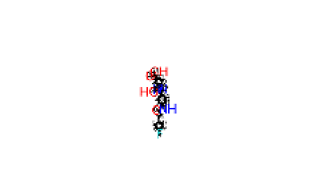 O=C(C=Cc1ccc(F)cc1)Nc1ccc(-c2nc3ccc(C(=O)O)cc3n2O)cc1